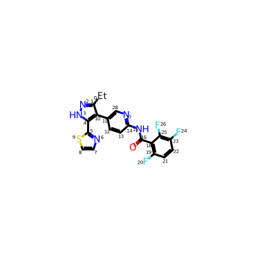 CCc1n[nH]c(-c2nccs2)c1-c1ccc(NC(=O)c2c(F)ccc(F)c2F)nc1